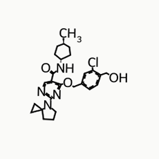 C[C@H]1CC[C@H](NC(=O)c2cnc(N3CCCC34CC4)nc2OCc2ccc(CO)c(Cl)c2)CC1